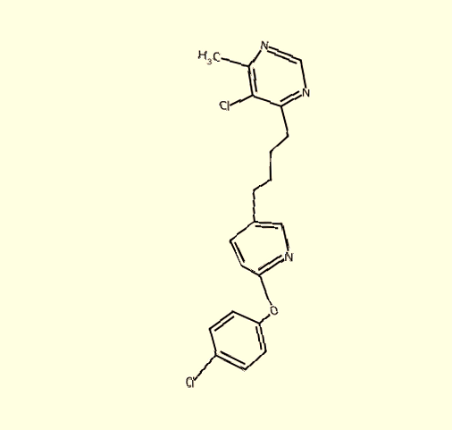 Cc1ncnc(CCCCc2ccc(Oc3ccc(Cl)cc3)nc2)c1Cl